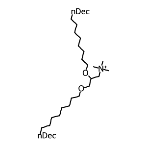 CCCCCCCCCCCCCCCCCCOCC(C[N+](C)(C)C)OCCCCCCCCCCCCCCCCCC